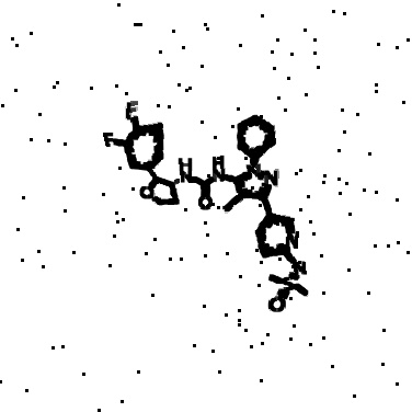 Cc1c(-c2ccc(N=S(C)(C)=O)nc2)nn(-c2ccccc2)c1NC(=O)N[C@@H]1CCO[C@H]1c1ccc(F)c(F)c1